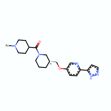 CC(=O)N1CCC(C(=O)N2CCC[C@@H](COc3ccc(-c4ccn[nH]4)nc3)C2)CC1